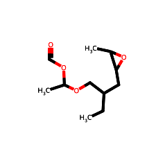 CCC(COC(C)OC=O)CC1OC1C